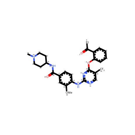 CCC(=O)c1ccccc1Oc1nc(Nc2ccc(C(=O)NC3CCN(C)CC3)cc2OC)ncc1C(F)(F)F